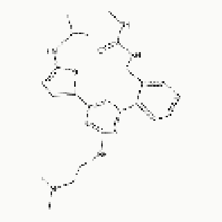 CNC(=O)NCc1ccccc1-c1cc(-c2cnc(NC(C)C)s2)nc(NCCN(C)C)n1